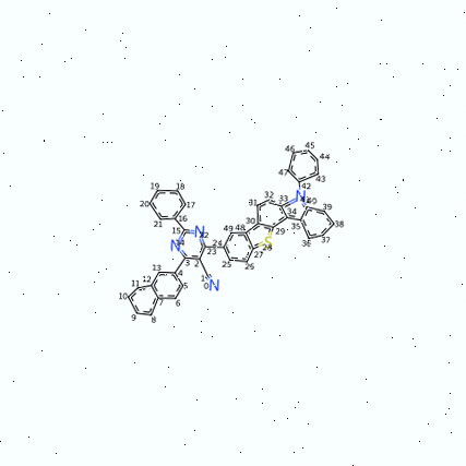 N#Cc1c(-c2ccc3ccccc3c2)nc(-c2ccccc2)nc1-c1ccc2sc3c(ccc4c3c3ccccc3n4-c3ccccc3)c2c1